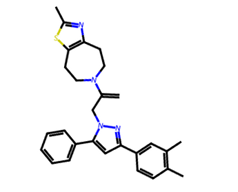 C=C(Cn1nc(-c2ccc(C)c(C)c2)cc1-c1ccccc1)N1CCc2nc(C)sc2CC1